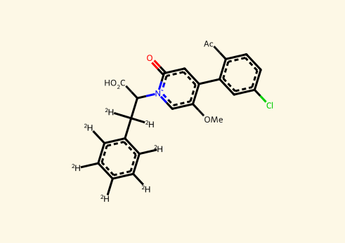 [2H]c1c([2H])c([2H])c(C([2H])([2H])C(C(=O)O)n2cc(OC)c(-c3cc(Cl)ccc3C(C)=O)cc2=O)c([2H])c1[2H]